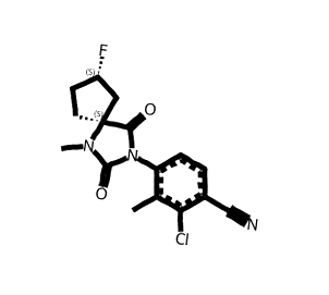 Cc1c(N2C(=O)N(C)[C@]3(CC[C@H](F)C3)C2=O)ccc(C#N)c1Cl